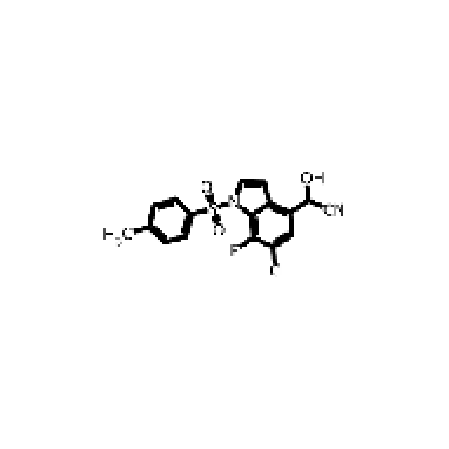 Cc1ccc(S(=O)(=O)n2ccc3c(C(O)C#N)cc(Cl)c(F)c32)cc1